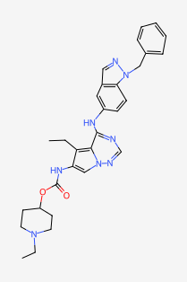 CCc1c(NC(=O)OC2CCN(CC)CC2)cn2ncnc(Nc3ccc4c(cnn4Cc4ccccc4)c3)c12